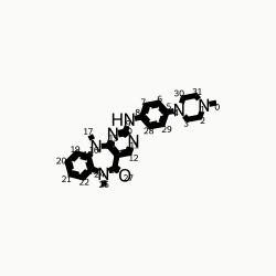 CN1CCN(c2ccc(Nc3ncc4c(n3)N(C)c3ccccc3N(C)C4=O)cc2)CC1